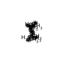 CC(C)(C1=C(OP2OCC3(CO2)COP(Oc2ccc(C(C)(C)c4ccccc4)cc2C(C)(C)c2ccccc2)OC3)C=CC(C(C)(C)c2ccccc2)C1)c1ccccc1